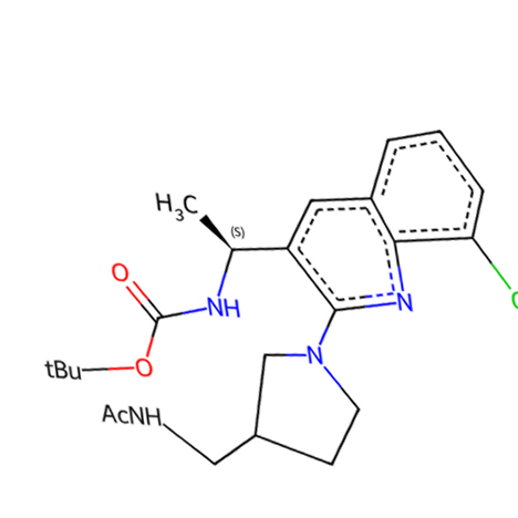 CC(=O)NCC1CCN(c2nc3c(Cl)cccc3cc2[C@H](C)NC(=O)OC(C)(C)C)C1